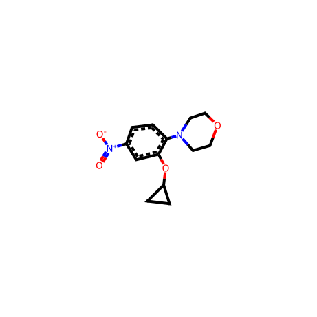 O=[N+]([O-])c1ccc(N2CCOCC2)c(OC2CC2)c1